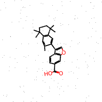 Cc1cc2c(cc1-c1coc3cc(C(=O)O)ccc13)C(C)(C)CCC2(C)C